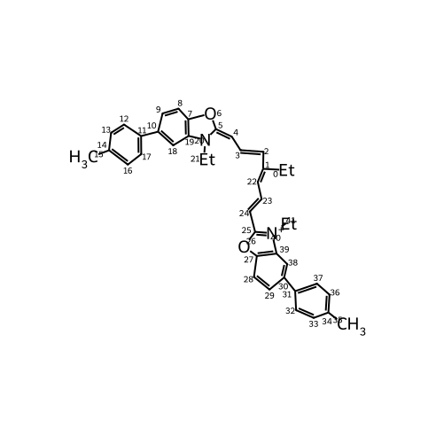 CCC(C=CC=C1Oc2ccc(-c3ccc(C)cc3)cc2N1CC)=CC=Cc1oc2ccc(-c3ccc(C)cc3)cc2[n+]1CC